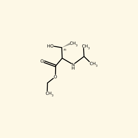 CCOC(=O)C(NC(C)C)[C@@H](C)O